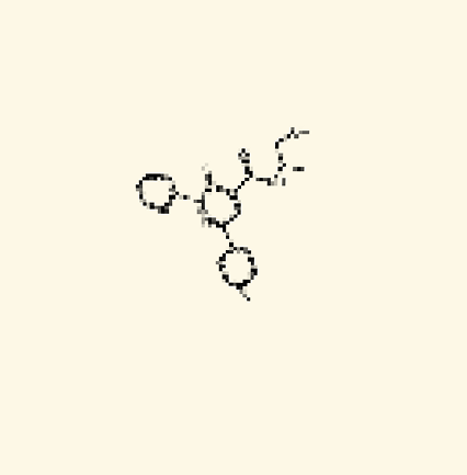 Cc1ccc(-c2cc(C(=O)NC(C)CO)c(=O)n(-c3ccccc3)n2)cc1